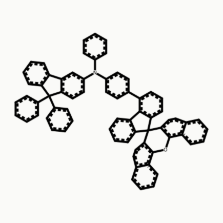 c1ccc(N(c2ccc(-c3cccc4c3-c3ccccc3C43c4ccc5ccccc5c4Oc4c3ccc3ccccc43)cc2)c2ccc3c(c2)-c2ccccc2C3(c2ccccc2)c2ccccc2)cc1